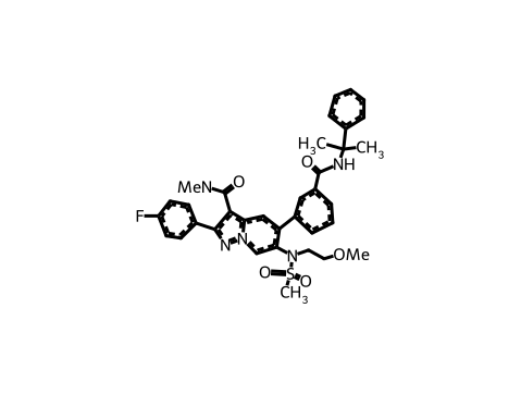 CNC(=O)c1c(-c2ccc(F)cc2)nn2cc(N(CCOC)S(C)(=O)=O)c(-c3cccc(C(=O)NC(C)(C)c4ccccc4)c3)cc12